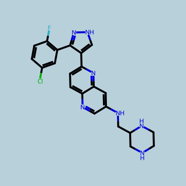 Fc1ccc(Cl)cc1-c1n[nH]cc1-c1ccc2ncc(NCC3CNCCN3)cc2n1